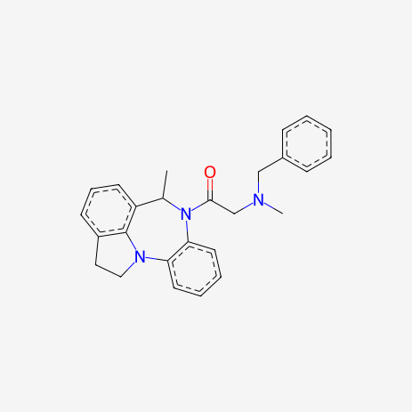 CC1c2cccc3c2N(CC3)c2ccccc2N1C(=O)CN(C)Cc1ccccc1